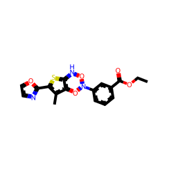 CCOC(=O)c1cccc(-n2o[nH]c3sc(-c4ncco4)c(C)c3o2)c1